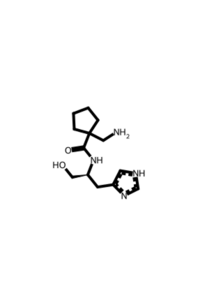 NCC1(C(=O)N[C@H](CO)Cc2c[nH]cn2)CCCC1